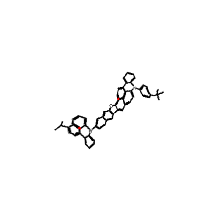 CC(C)c1ccc(-c2ccccc2N(c2ccccc2)c2ccc3cc4c(cc3c2)oc2cc3cc(N(c5ccc(C(C)(C)C)cc5)c5ccccc5-c5ccccc5)ccc3cc24)cc1